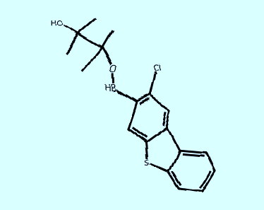 CC(C)(O)C(C)(C)OBc1cc2sc3ccccc3c2cc1Cl